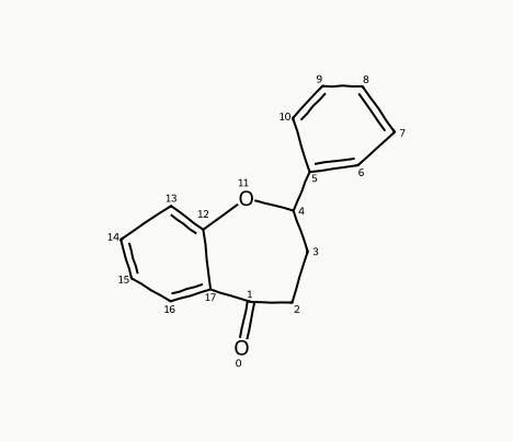 O=C1CCC(c2ccccc2)Oc2ccccc21